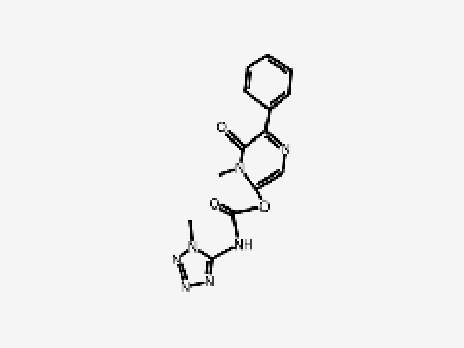 Cn1nnnc1NC(=O)Oc1cnc(-c2ccccc2)c(=O)n1C